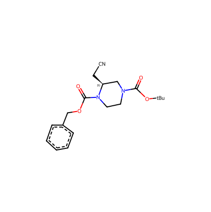 CC(C)(C)OC(=O)N1CCN(C(=O)OCc2ccccc2)[C@@H](CC#N)C1